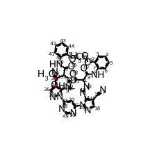 COc1ccccc1NC(=O)C(N=Nc1c(C#N)cnn1-c1cc(-n2ncc(C#N)c2N=NC(C(C)=O)C(=O)Nc2ccccc2OC)ncn1)C(C)=O